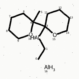 C[CH2][AlH][C]1(C2(C)CCCCO2)CCCCO1.[AlH3]